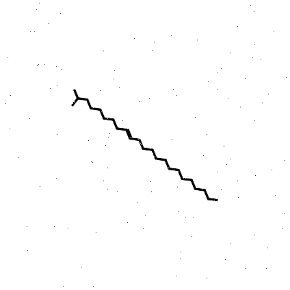 CCCCCCCCCCCCCC=CCCCCCCC(C)C